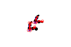 CCCC1CCN(c2ccc([N+](=O)[O-])c(Oc3ccc(CCC(C)=O)cc3)c2)CC1.CCOC(=O)C1CCN(c2ccc([N+](=O)[O-])c(Oc3ccc(C(=O)c4ccccc4)cc3)c2)CC1